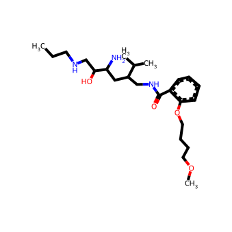 CCCNCC(O)C(N)CC(CNC(=O)c1ccccc1OCCCCOC)C(C)C